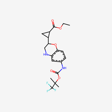 CCOC(=O)C1CC1C1CNc2cc(NC(=O)OC(C)(C)C(F)(F)F)ccc2O1